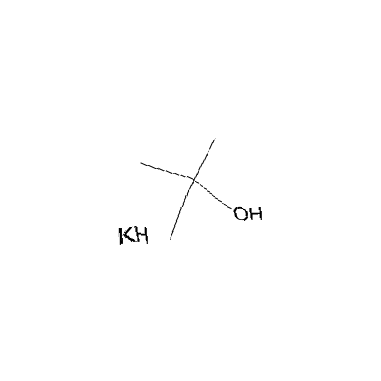 CC(C)(C)O.[KH]